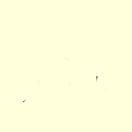 CC[C@@]1(O)C(=O)OCc2c1cc1n(c2=O)Cc2c-1nc1cc(F)c3c(c1c2CNC(=O)[C@H](C)O)CCC3